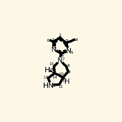 Cc1cc(C)nc(N2CC[C@@H]3CNC[C@@H]3C2)n1